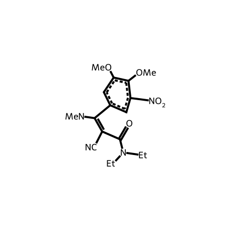 CCN(CC)C(=O)C(C#N)=C(NC)c1cc(OC)c(OC)c([N+](=O)[O-])c1